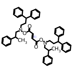 CC(CN(CCC(c1ccccc1)c1ccccc1)OC(=O)/C=C/C(=O)ON(CCC(c1ccccc1)c1ccccc1)CC(C)c1ccccc1)c1ccccc1